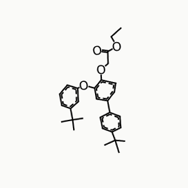 CCOC(=O)COc1ccc(-c2ccc(C(C)(C)C)cc2)cc1Oc1cccc(C(C)(C)C)c1